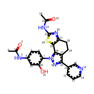 CC(=O)Nc1ccc(-n2nc(-c3cccnc3)c3c2-c2sc(NC(C)=O)nc2CC3)c(O)c1